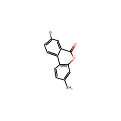 Bc1ccc2c(c1)oc(=O)c1cc(Br)ccc12